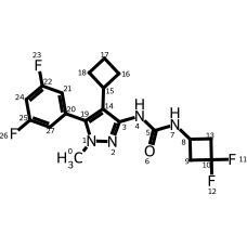 Cn1nc(NC(=O)NC2CC(F)(F)C2)c(C2CCC2)c1-c1cc(F)cc(F)c1